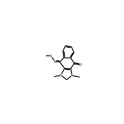 CON=C1C2=C(C(=O)c3ccccc31)N(C)CN2C